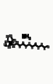 CCCCCCCCCCCC[N+](CC)(CC)CC.N